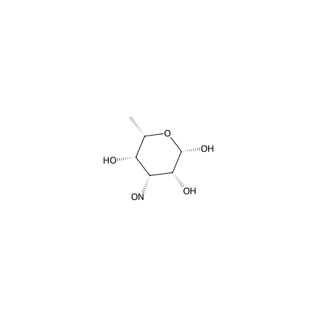 C[C@@H]1O[C@H](O)[C@H](O)[C@H](N=O)[C@@H]1O